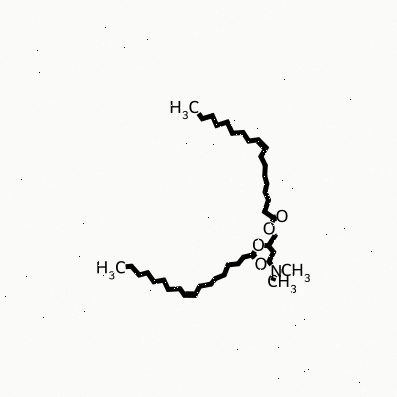 CCCCCCCC/C=C\CCCCCCCC(=O)OCC(CCN(C)C)OC(=O)CCCCCCC/C=C\CCCCCCCC